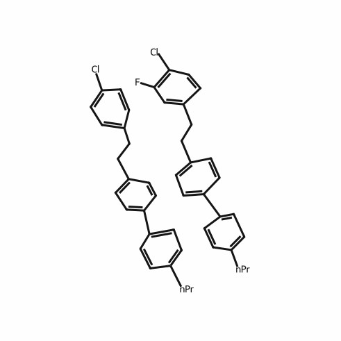 CCCc1ccc(-c2ccc(CCc3ccc(Cl)c(F)c3)cc2)cc1.CCCc1ccc(-c2ccc(CCc3ccc(Cl)cc3)cc2)cc1